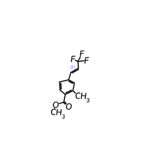 COC(=O)c1ccc(/C=C/C(F)(F)F)cc1C